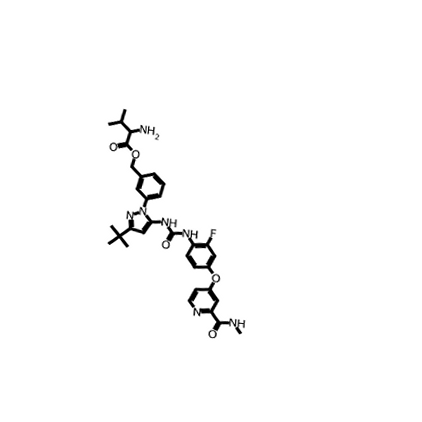 CNC(=O)c1cc(Oc2ccc(NC(=O)Nc3cc(C(C)(C)C)nn3-c3cccc(COC(=O)C(N)C(C)C)c3)c(F)c2)ccn1